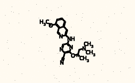 COc1cccc2cc(Nc3cnc(C#N)c(O[C@H](C)CN(C)C)n3)ncc12